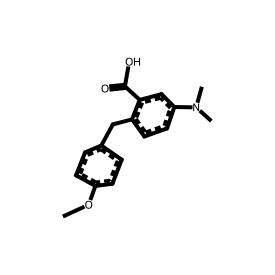 COc1ccc(Cc2ccc(N(C)C)cc2C(=O)O)cc1